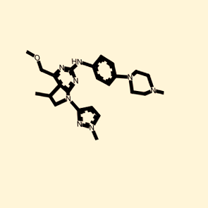 COCc1nc(Nc2ccc(N3CCN(C)CC3)cc2)nc2c1C(C)CN2c1ccn(C)n1